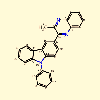 Cc1nc2ccccc2nc1-c1ccc2c(c1)c1ccccc1n2-c1ccccc1